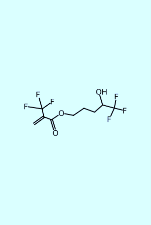 C=C(C(=O)OCCCC(O)C(F)(F)F)C(F)(F)F